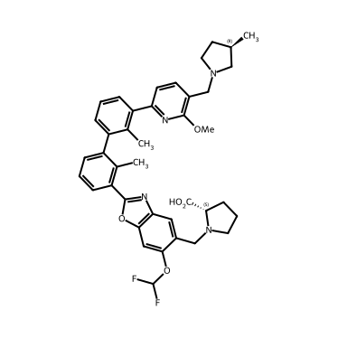 COc1nc(-c2cccc(-c3cccc(-c4nc5cc(CN6CCC[C@H]6C(=O)O)c(OC(F)F)cc5o4)c3C)c2C)ccc1CN1CC[C@@H](C)C1